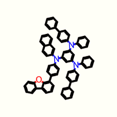 c1ccc(-c2ccc(N(c3ccccc3)c3cc(N(c4ccccc4)c4ccc(-c5ccccc5)cc4)cc(N(c4ccc(-c5cccc6c5oc5ccccc56)cc4)c4ccc5ccccc5c4)c3)cc2)cc1